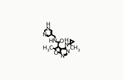 Cc1oc2ncnc(NC3(C)CC3)c2c1C(=O)NCC1=CNCN=C1